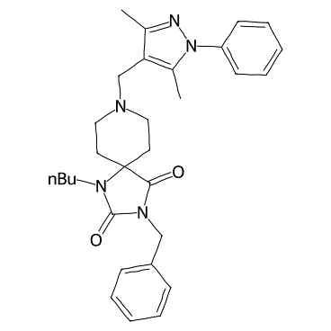 CCCCN1C(=O)N(Cc2ccccc2)C(=O)C12CCN(Cc1c(C)nn(-c3ccccc3)c1C)CC2